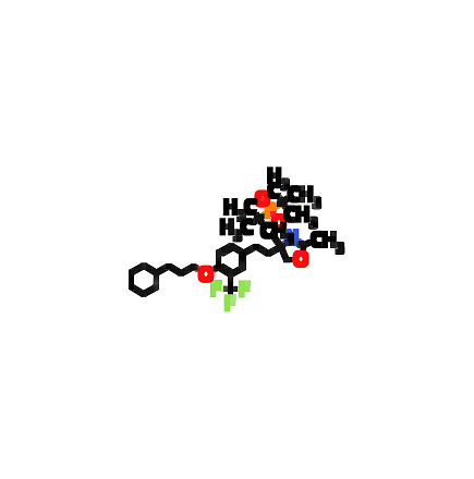 CC1=NC(CCc2ccc(OCCCC3CCCCC3)c(C(F)(F)F)c2)(COP(=O)(C(C)(C)C)C(C)(C)C)CO1